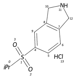 CC(C)S(=O)(=O)c1ccc2c(c1)CNC2.Cl